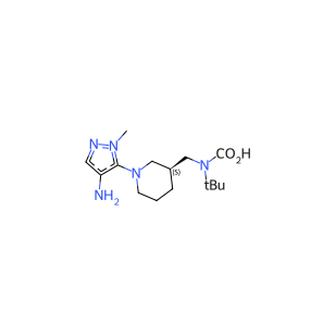 Cn1ncc(N)c1N1CCC[C@H](CN(C(=O)O)C(C)(C)C)C1